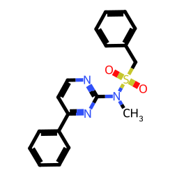 CN(c1nccc(-c2ccccc2)n1)S(=O)(=O)Cc1ccccc1